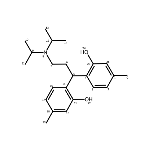 Cc1ccc(C(CCN(C(C)C)C(C)C)c2ccc(C)cc2O)c(O)c1